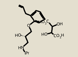 C=CCc1ccccc1OC[C@@H](O)CNC(C)C.O=C(O)C(O)C(O)C(=O)O